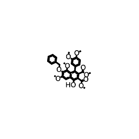 COC(=O)c1c(C(=O)OC)c(-c2ccc(OC)c(OC)c2)c2c(OC)c(OCc3ccccc3)c(OC)cc2c1O